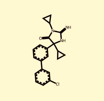 N=C1NC(c2cccc(-c3cccc(Cl)c3)c2)(C2CC2)C(=O)N1C1CC1